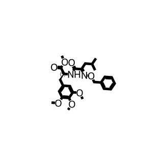 COC(=O)[C@H](Cc1cc(OC)c(OC)c(OC)c1)NC(=O)C(CC(C)C)=NOCc1ccccc1